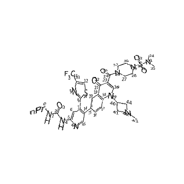 CCCNC(=O)Nc1cc(-c2nc(C(F)(F)F)cs2)c(-c2ccc3c(c2)c(=O)c(C(=O)N2CCN(S(=O)(=O)N(C)C)CC2)cn3C2CN(C)C2)cn1